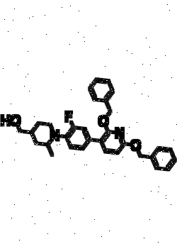 CC1CC(CO)CCN1c1ccc(-c2ccc(OCc3ccccc3)nc2OCc2ccccc2)cc1F